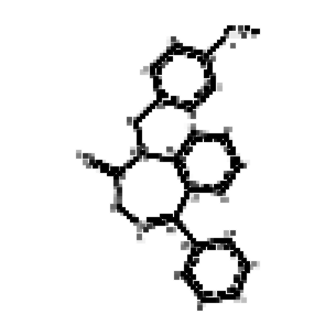 COc1ccc(CN2C(=O)CN=C(c3ccccc3)c3ccccc32)cc1